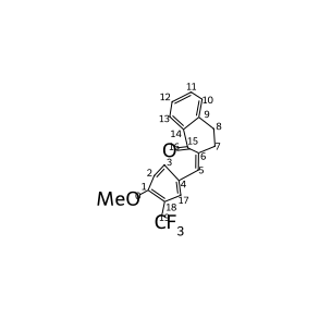 COc1ccc(C=C2CCc3ccccc3C2=O)cc1C(F)(F)F